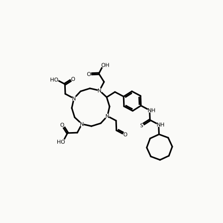 O=CCN1CCN(CC(=O)O)CCN(CC(=O)O)CCN(CC(=O)O)C(Cc2ccc(NC(=S)NC3CCCCCCC3)cc2)C1